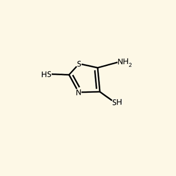 Nc1sc(S)nc1S